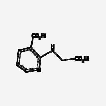 CCOC(=O)CNc1ncccc1C(=O)OCC